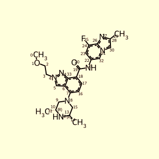 COCCn1cc2c(N3C[C@@H](C)N[C@H](C)C3)ccc(C(=O)Nc3cc(F)c4nc(C)cn4c3)c2n1